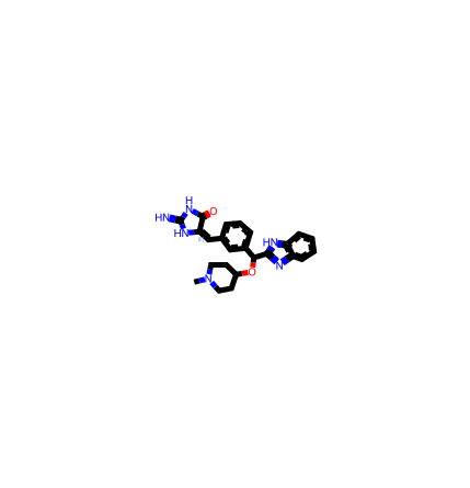 CN1CCC(OC(c2cccc(/C=C3/NC(=N)NC3=O)c2)c2nc3ccccc3[nH]2)CC1